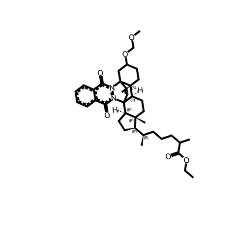 CCOC(=O)C(C)CCC[C@@H](C)[C@H]1CC[C@H]2C34C=CC5(CC(OCOC)CC[C@]5(C)[C@H]3CC[C@]12C)n1c(=O)c2ccccc2c(=O)n14